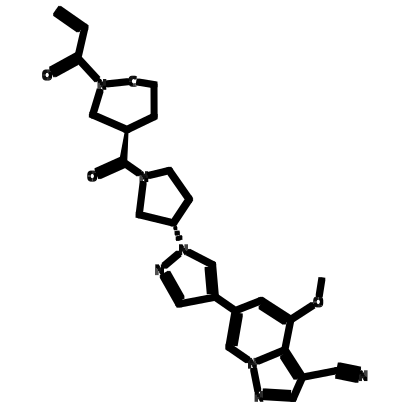 C=CC(=O)N1CCC[C@@H](C(=O)N2CC[C@H](n3cc(-c4cc(OC)c5c(C#N)cnn5c4)cn3)C2)C1